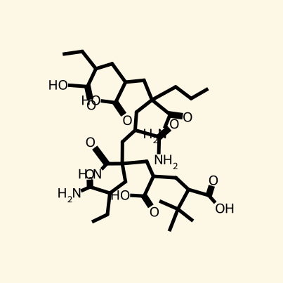 CCCC(CC(CC(CC(CC)C(N)=O)(CC(CC(C(=O)O)C(C)(C)C)C(=O)O)C(N)=O)C(N)=O)(CC(CC(CC)C(=O)O)C(=O)O)C(N)=O